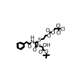 CC(C)(C)OC(=O)C(O)N1C(=O)[C@H](NC(=O)Cc2ccccc2)[C@@H]1SCCOC(=O)OCC(Cl)(Cl)Cl